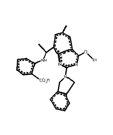 CCOc1nc(N2Cc3ccccc3C2)nc2c(C(C)Nc3ccccc3C(=O)O)cc(C)cc12